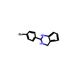 CC(C)(C)c1ccc(C2NCc3ccccc3N2)cc1